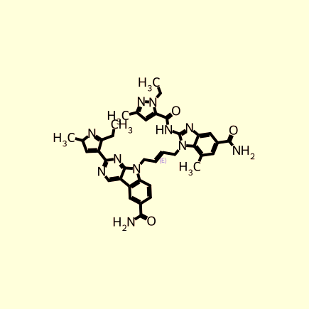 CCC1=NC(C)C=C1c1ncc2c3cc(C(N)=O)ccc3n(C/C=C/Cn3c(NC(=O)c4cc(C)nn4CC)nc4cc(C(N)=O)cc(C)c43)c2n1